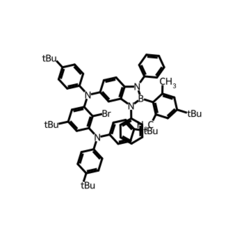 Cc1cc(C(C)(C)C)cc(C)c1B1N(c2ccccc2)c2ccc(N(c3ccc(C(C)(C)C)cc3)c3cc(C(C)(C)C)cc(N(c4ccc(C(C)(C)C)cc4)c4ccc(C(C)(C)C)cc4)c3Br)cc2N1c1ccccc1